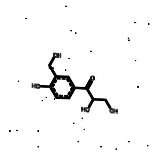 O=C(c1ccc(O)c(CO)c1)C(O)CO